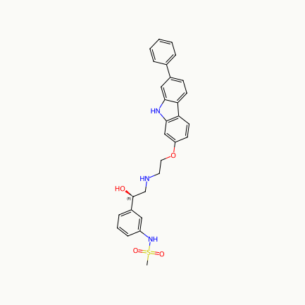 CS(=O)(=O)Nc1cccc([C@@H](O)CNCCOc2ccc3c(c2)[nH]c2cc(-c4ccccc4)ccc23)c1